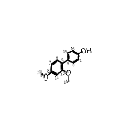 Oc1ccc(-c2ccc(OI)cc2OI)cc1